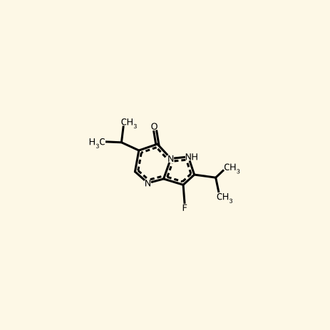 CC(C)c1[nH]n2c(=O)c(C(C)C)cnc2c1F